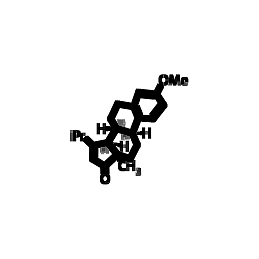 COc1ccc2c(c1)CC[C@@H]1[C@@H]2CC[C@]2(C)C(=O)C=C(C(C)C)[C@@H]12